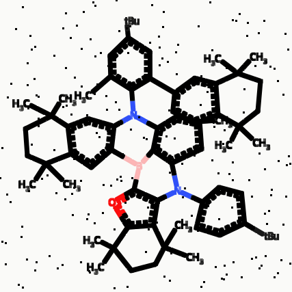 Cc1cc2c3c(c1)N(c1c(C)cc(C(C)(C)C)cc1-c1ccc4c(c1)C(C)(C)CCC4(C)C)c1cc4c(cc1B3c1oc3c(c1N2c1ccc(C(C)(C)C)cc1)C(C)(C)CCC3(C)C)C(C)(C)CCC4(C)C